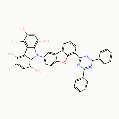 Bc1cc(B)c2c(c1B)c1c(B)c(B)cc(B)c1n2-c1ccc2oc3c(-c4nc(-c5ccccc5)nc(-c5ccccc5)n4)cccc3c2c1